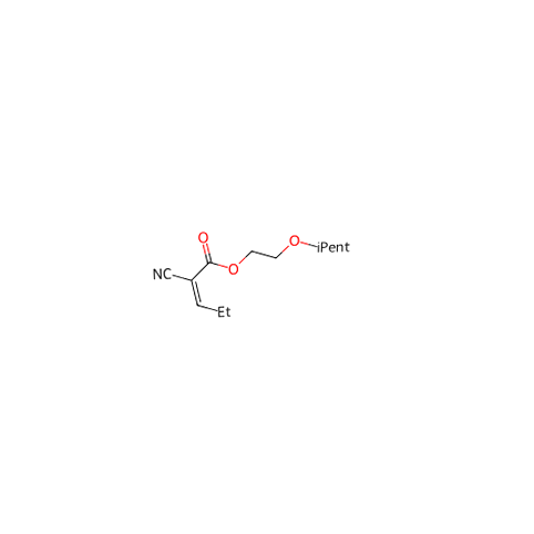 CCC=C(C#N)C(=O)OCCOC(C)CCC